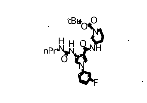 CCCNC(=O)Nc1cn(-c2cccc(F)c2)cc1C(=O)NC1CCCN(C(=O)OC(C)(C)C)C1